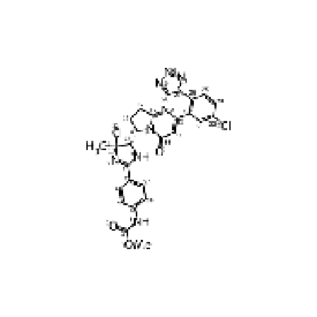 COC(=O)Nc1ccc(C2=NC(C)(Cl)C([C@@H]3CCc4nc(-c5cc(Cl)ccc5-n5cnnn5)cc(=O)n43)N2)cc1